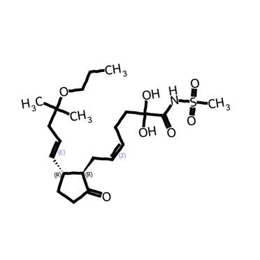 CCCOC(C)(C)C/C=C/[C@H]1CCC(=O)[C@@H]1C/C=C\CCC(O)(O)C(=O)NS(C)(=O)=O